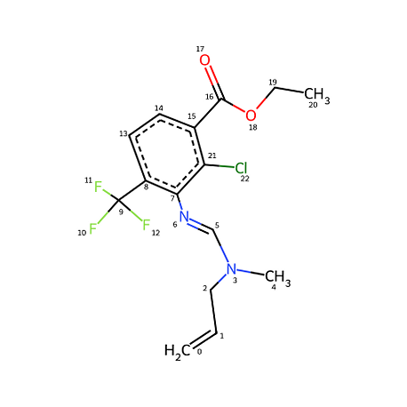 C=CCN(C)C=Nc1c(C(F)(F)F)ccc(C(=O)OCC)c1Cl